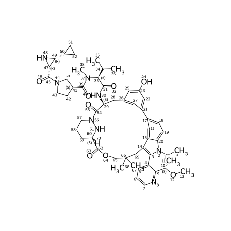 CCn1c(-c2cccnc2[C@H](C)OC)c2c3cc(ccc31)-c1cc(O)cc(c1)C[C@H](NC(=O)[C@H](C(C)C)N(C)C(=O)[C@H]1CCN(C(=O)[C@@H]3N[C@@H]3C3CC3)C1)C(=O)N1CCC[C@H](N1)C(=O)OCC(C)(C)C2